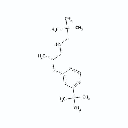 C[C@H](CNCC(C)(C)C)Oc1cccc(C(C)(C)C)c1